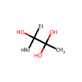 CCCCC(O)(CC)C(C)(O)O